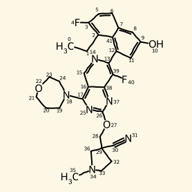 CCc1c(F)ccc2cc(O)cc(-c3ncc4c(N5CCCOCC5)nc(OCC5(C#N)CCN(C)C5)nc4c3F)c12